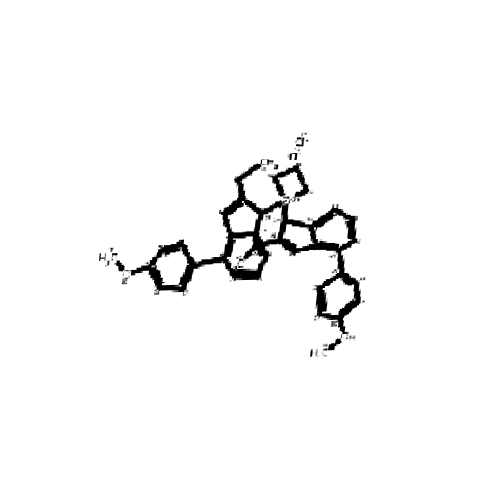 CCC1=Cc2c(-c3ccc(OC)cc3)cccc2[CH]1[Zr+2]1([CH]2C(CC)=Cc3c(-c4ccc(OC)cc4)cccc32)[CH2]C[CH2]1.[Cl-].[Cl-]